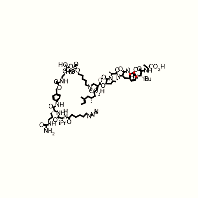 C/C=C(\C)C[C@@H](C)CC/C=C(\CN(CCCCCOP(=O)(O)OP(=O)(O)OCCNC(=O)OCc1ccc(NC(=O)[C@@H](CCCNC(N)=O)NC(=O)[C@H](NC(=O)CCCCCN=[N+]=[N-])C(C)C)cc1)C(=O)O)C(=O)O[C@@H]1CC(C)N([C@@H](C)C(=O)N(C)C(Cc2ccccc2)C(=O)N(C)CC(=O)N[C@H](C(=O)N[C@H](C)C(=O)O)C(C)CC)C1=O